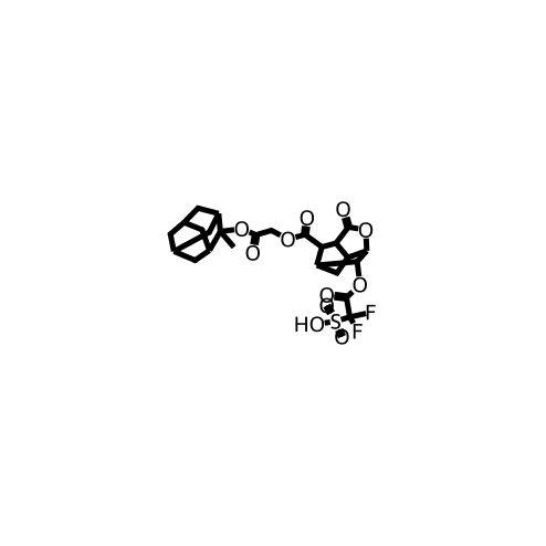 CC1(OC(=O)COC(=O)C2C3CC4C(OC(=O)C42)C3OC(=O)C(F)(F)S(=O)(=O)O)C2CC3CC(C2)CC1C3